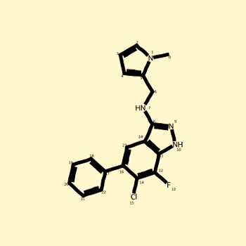 Cn1cccc1CNc1n[nH]c2c(F)c(Cl)c(-c3ccccc3)cc12